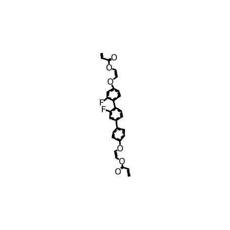 C=CC(=O)O/C=C\Oc1ccc(-c2ccc(-c3ccc(O/C=C\OC(=O)C=C)cc3F)c(F)c2)cc1